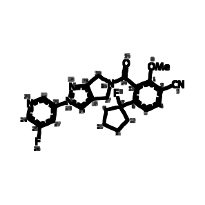 COc1c(C#N)ccc(C2(F)CCCC2)c1C(=O)N1Cc2cn(-c3cncc(F)c3)nc2C1